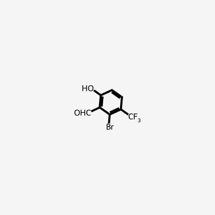 O=Cc1c(O)ccc(C(F)(F)F)c1Br